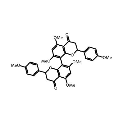 COc1ccc(C2CC(=O)c3c(OC)cc(OC)c(-c4c(OC)cc(OC)c5c4OC(c4ccc(OC)cc4)CC5=O)c3O2)cc1